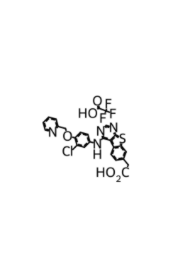 O=C(O)C(F)(F)F.O=C(O)Cc1ccc2c(c1)sc1ncnc(Nc3ccc(OCc4ccccn4)c(Cl)c3)c12